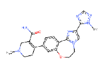 CC(C)n1ncnc1-c1cn2c(n1)-c1ccc(C3=C(C(N)=O)CN(C)CC3)cc1OCC2